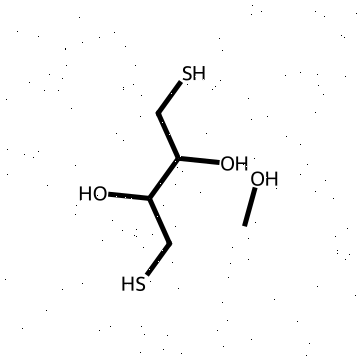 CO.OC(CS)C(O)CS